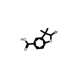 CC1(C)c2cc(C(=O)O)ccc2OC1Br